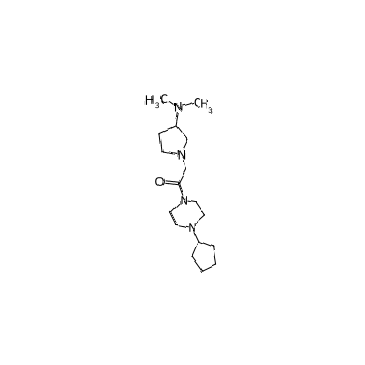 CN(C)C1CCN(CC(=O)N2CCN(C3CCCC3)CC2)C1